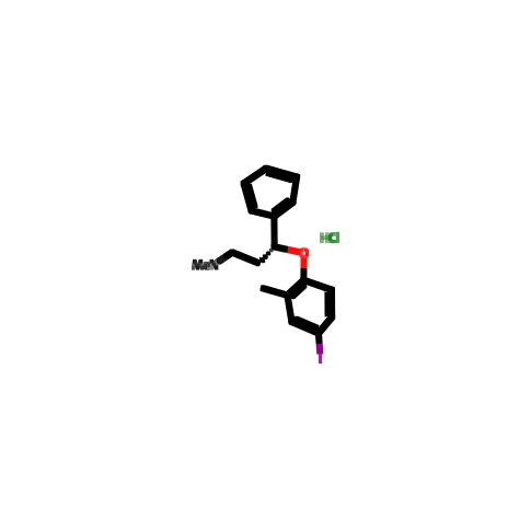 CNCC[C@@H](Oc1ccc(I)cc1C)c1ccccc1.Cl